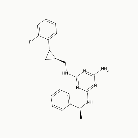 C[C@H](Nc1nc(N)nc(NC[C@H]2C[C@@H]2c2ccccc2F)n1)c1ccccc1